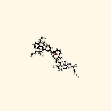 CC#CC(=O)N1CCC2(CCN([C@H](C(=O)N[C@@H](Cc3nc(-c4ccc5c(c4)c(CC(C)(C)COC=O)c(-c4cccnc4[C@H](C)OC)n5C)cs3)C(=O)N3CCCCN3)C(C)C)C2=O)C1